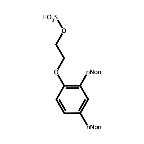 CCCCCCCCCc1ccc(OCCOS(=O)(=O)O)c(CCCCCCCCC)c1